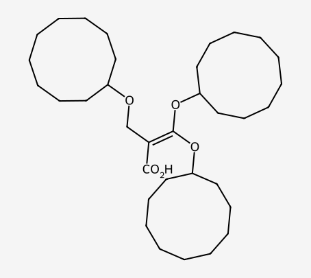 O=C(O)C(COC1CCCCCCCCC1)=C(OC1CCCCCCCCC1)OC1CCCCCCCCC1